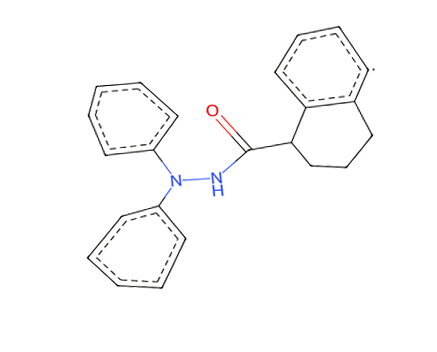 O=C(NN(c1ccccc1)c1ccccc1)C1CCCc2[c]cccc21